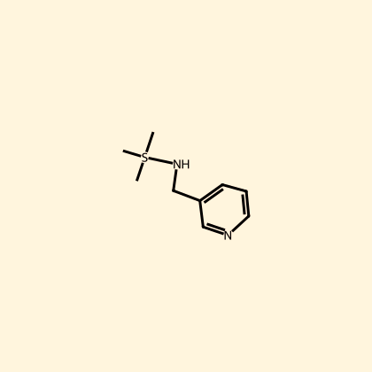 CS(C)(C)NCc1cccnc1